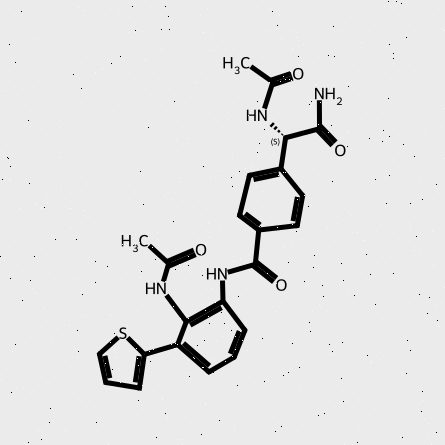 CC(=O)Nc1c(NC(=O)c2ccc([C@H](NC(C)=O)C(N)=O)cc2)cccc1-c1cccs1